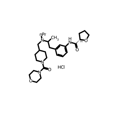 CCCN(CC1CCN(C(=O)N2CCOCC2)CC1)C(C)Cc1cccc(NC(=O)[C@@H]2CCCO2)c1.Cl